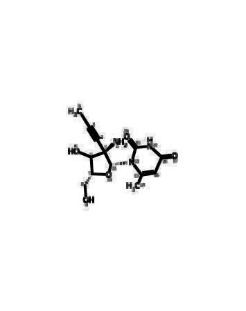 CC#C[C@@]1(N)C(O)[C@@H](CO)O[C@H]1n1c(C)cc(=O)[nH]c1=O